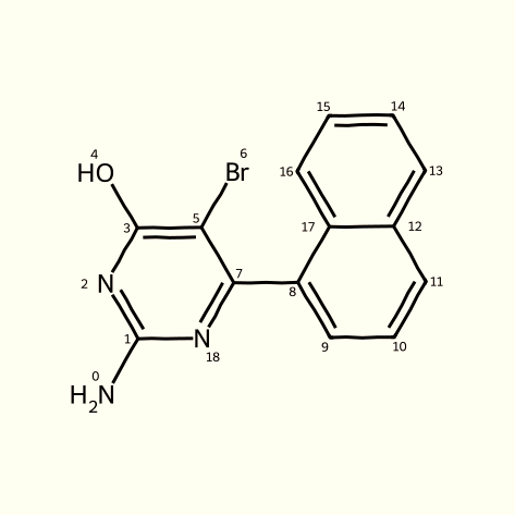 Nc1nc(O)c(Br)c(-c2cccc3ccccc23)n1